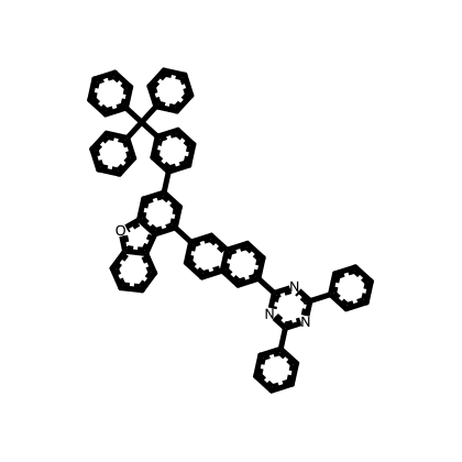 c1ccc(-c2nc(-c3ccccc3)nc(-c3ccc4cc(-c5cc(-c6cccc(C(c7ccccc7)(c7ccccc7)c7ccccc7)c6)cc6oc7ccccc7c56)ccc4c3)n2)cc1